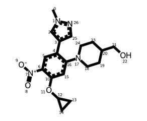 Cn1cc(-c2cc([N+](=O)[O-])c(OC3CC3)cc2N2CCC(CO)CC2)cn1